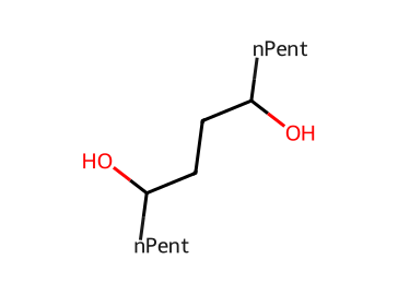 CCCCCC(O)CCC(O)CCCCC